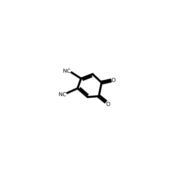 N#CC1=CC(=O)C(=O)C=C1C#N